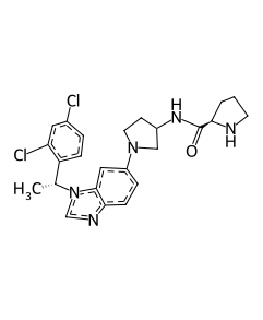 C[C@H](c1ccc(Cl)cc1Cl)n1cnc2ccc(N3CCC(NC(=O)[C@H]4CCCN4)C3)cc21